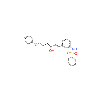 O=S(=O)(Nc1cccc(/C=C/[C@H](O)CCCOc2[c]cccc2)c1)c1ccccc1